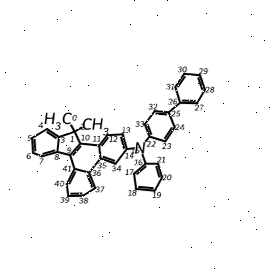 CC1(C)c2ccccc2-c2c1c1ccc(N(c3ccccc3)c3ccc(-c4ccccc4)cc3)cc1c1ccccc21